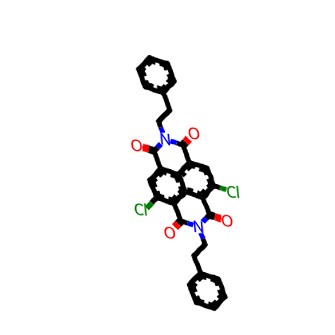 O=C1c2cc(Cl)c3c4c(c(Cl)cc(c24)C(=O)N1CCc1ccccc1)C(=O)N(CCc1ccccc1)C3=O